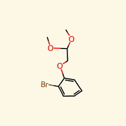 COC(COc1ccccc1Br)OC